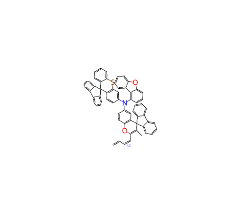 C=C/C=C\C1=C(C)C2(c3cc(N(c4ccc5c(c4)Sc4ccccc4C54c5ccccc5-c5ccccc54)c4cccc5oc6ccccc6c45)ccc3O1)c1ccccc1-c1ccccc12